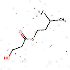 CC(C)CCSC(=O)CCO